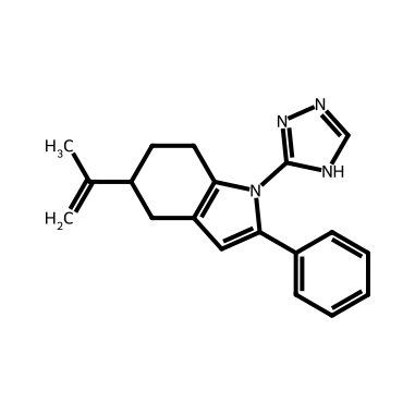 C=C(C)C1CCc2c(cc(-c3ccccc3)n2-c2nnc[nH]2)C1